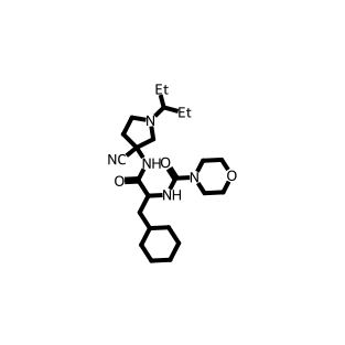 CCC(CC)N1CCC(C#N)(NC(=O)C(CC2CCCCC2)NC(=O)N2CCOCC2)C1